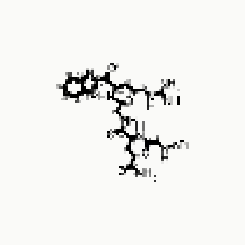 CCCNCC(=O)NC(CCC(N)=O)C(=O)NCC(=O)NC(CCCNC(=N)N)C(=O)c1nc2ccccc2s1